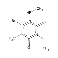 CCn1c(=O)c(C)c(Br)n(PC)c1=O